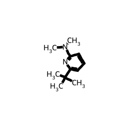 CN(C)c1cccc(C(C)(C)C)n1